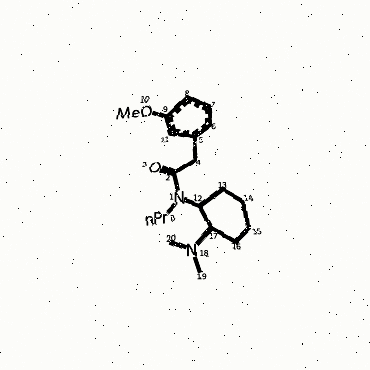 CCCN(C(=O)Cc1cccc(OC)c1)C1CCCCC1N(C)C